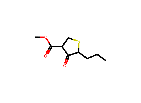 CCCC1SCC(C(=O)OC)C1=O